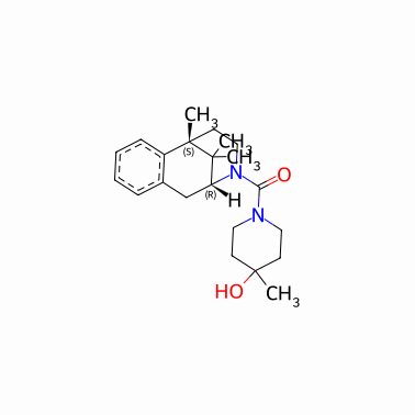 CC1(O)CCN(C(=O)N2CC[C@@]3(C)c4ccccc4C[C@@H]2C3(C)C)CC1